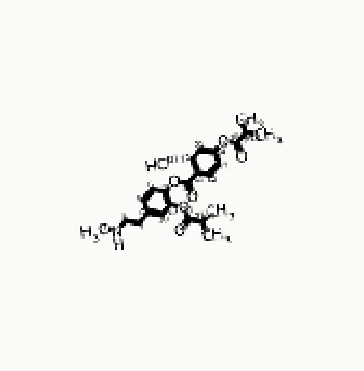 CNCCc1ccc(OC(=O)c2ccc(OC(=O)C(C)C)cc2)c(OC(=O)C(C)C)c1.Cl